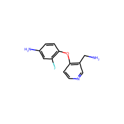 NCc1cnccc1Oc1ccc(N)cc1F